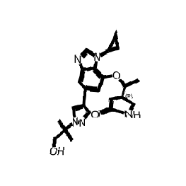 CC(Oc1cc(-c2cnn(C(C)(C)CO)c2)cc2ncn(C3CC3)c12)[C@H]1CNC(=O)C1